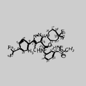 Cc1c(-c2ccc(C(F)F)cc2)nnc(N2CCCC(F)(F)CC2)c1C(=O)Nc1cccc(S(C)(=N)=O)c1